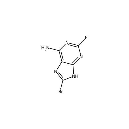 Nc1nc(F)nc2[nH]c(Br)nc12